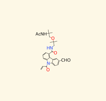 C=CC(=O)n1c2ccc(C=O)cc2c2c(C(=O)NCC(C)(C)OCC(C)(C)NC(C)=O)cccc21